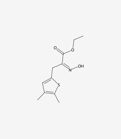 CCOC(=O)C(Cc1cc(C)c(C)s1)=NO